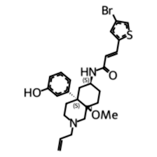 C=CCN1CC[C@@]2(c3cccc(O)c3)C[C@@H](NC(=O)C=Cc3cc(Br)cs3)CC[C@]2(OC)C1